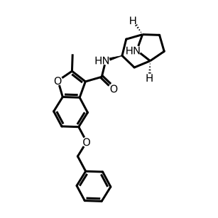 Cc1oc2ccc(OCc3ccccc3)cc2c1C(=O)N[C@H]1C[C@H]2CC[C@@H](C1)N2